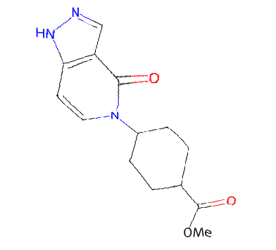 COC(=O)C1CCC(n2ccc3[nH]ncc3c2=O)CC1